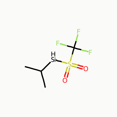 CC(C)[SiH]S(=O)(=O)C(F)(F)F